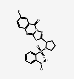 O=c1c2cc(F)ccc2nc2sc(C3CCCN3S(=O)(=O)c3ccccc3[N+](=O)[O-])nn12